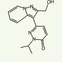 CC(C)n1nc(-c2c(CO)nn3ccccc23)ccc1=O